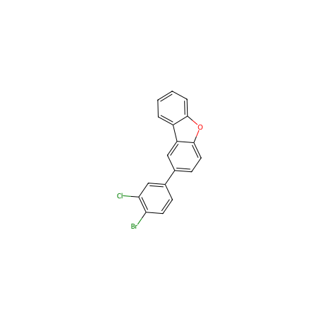 Clc1cc(-c2ccc3oc4ccccc4c3c2)ccc1Br